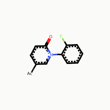 CC(=O)c1ccc(=O)n(-c2ccccc2F)c1